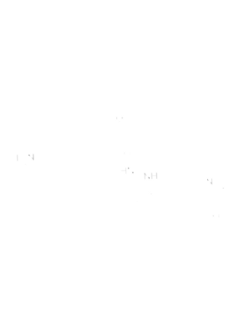 Nc1ccc(-c2ccoc2CONNC(=O)c2ccc(O)c([N+](=O)[O-])c2)cc1